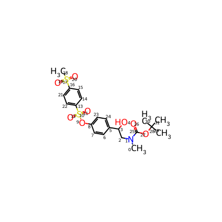 CN(CC(O)c1ccc(OS(=O)(=O)c2ccc(S(C)(=O)=O)cc2)cc1)C(=O)OC(C)(C)C